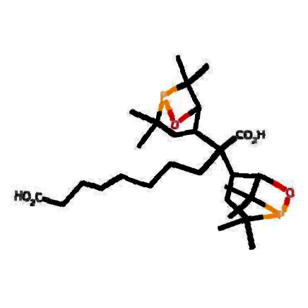 CC1(C)CC(C(CCCCCCCC(=O)O)(C(=O)O)C2CC(C)(C)P3OC2C3(C)C)C2OP1C2(C)C